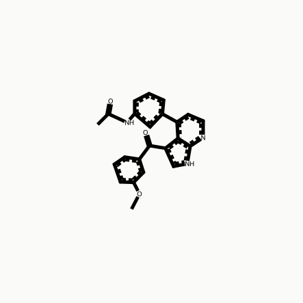 COc1cccc(C(=O)c2c[nH]c3nccc(-c4cccc(NC(C)=O)c4)c23)c1